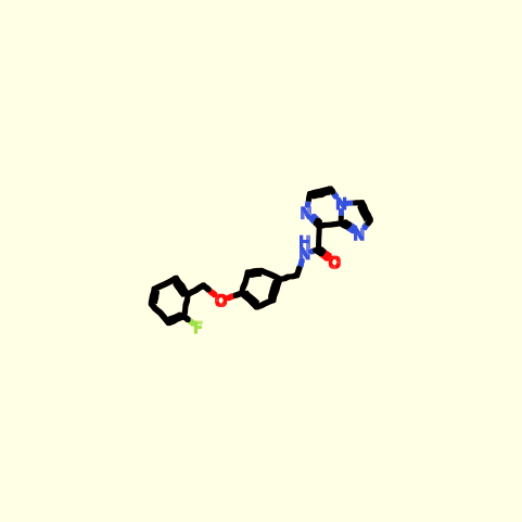 O=C(NCc1ccc(OCc2ccccc2F)cc1)c1nccn2ccnc12